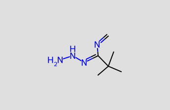 C=N/C(=N\NN)C(C)(C)C